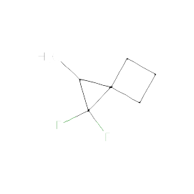 CC1C(F)(F)C12CCC2